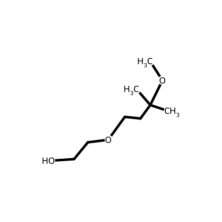 COC(C)(C)CCOCCO